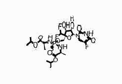 CC(C)OC(=O)[C@H](C)NP(=S)(N[C@@H](C)C(=O)OC(C)C)OC[C@@]1(C(F)F)O[C@@H](n2cc(F)c(=O)[nH]c2=O)[C@H](O)[C@@H]1O